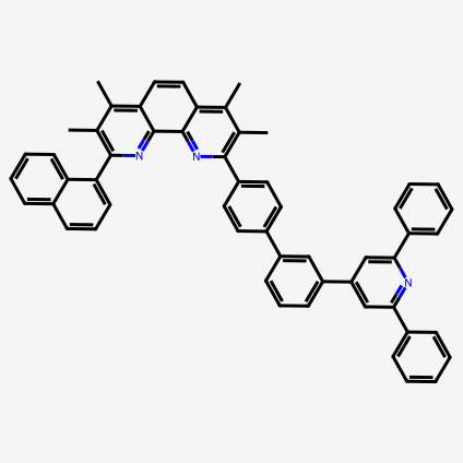 Cc1c(-c2ccc(-c3cccc(-c4cc(-c5ccccc5)nc(-c5ccccc5)c4)c3)cc2)nc2c(ccc3c(C)c(C)c(-c4cccc5ccccc45)nc32)c1C